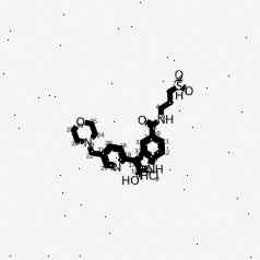 Cl.O=C(NCCC[SH](=O)=O)c1ccc2[nH]c(O)c(-c3ccc(CN4CCOCC4)cn3)c2c1